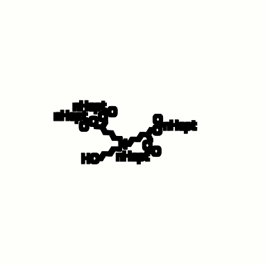 CCCCCCCC(=O)OCC(CCCCN(CCCCCO)CCCCC(COC(=O)CCCCCCC)COC(=O)CCCCCCC)COC(=O)CCCCCCC